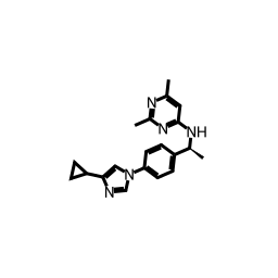 Cc1cc(N[C@@H](C)c2ccc(-n3cnc(C4CC4)c3)cc2)nc(C)n1